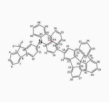 CC1(C)c2ccccc2-c2ccc(N(c3ccc(-c4ccc5c(c4)-c4ccccc4C54c5ccccc5-c5ccccc54)cc3)c3ccccc3-c3ccccc3)cc21